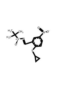 CC(C)(C)[S@+]([O-])N=Cc1cc([N+](=O)[O-])ccc1SC1CC1